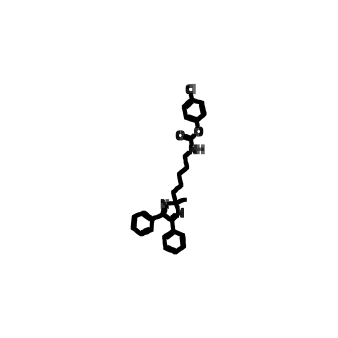 CC1(CCCCCNC(=O)Oc2ccc(Cl)cc2)N=C(c2ccccc2)C(c2ccccc2)=N1